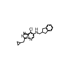 Clc1c(NCC2Cc3ccccc3C2)cnn2c(CC3CC3)nnc12